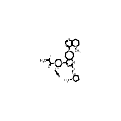 C=C(F)C(=O)N1CCN(c2nc(OC[C@@H]3CCCN3C)nc3c2CCN(c2ncnc4c2N(C)CCC4)CC3)C[C@@H]1CC#N